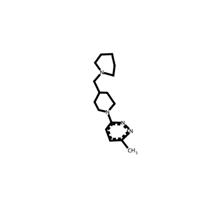 Cc1ccc(N2CCC(CN3CCCCC3)CC2)nn1